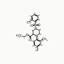 CCOC(=O)C1CN(S(=O)(=O)c2ccccc2Cl)CCN1c1ccc(F)cc1C